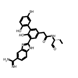 CC[C@H](C=O)NC(=O)Cc1cc(-c2nc3cc(C(=N)N)ccc3[nH]2)c(O)c(-c2cc(S)ccc2O)c1